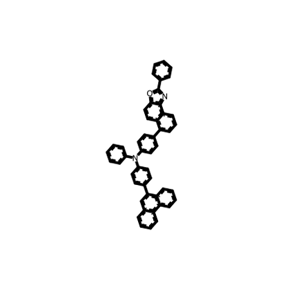 c1ccc(-c2nc3c(ccc4c(-c5ccc(N(c6ccccc6)c6ccc(-c7cc8ccccc8c8ccccc78)cc6)cc5)cccc43)o2)cc1